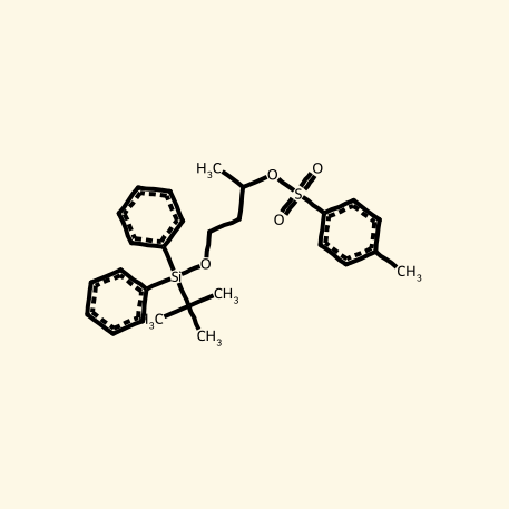 Cc1ccc(S(=O)(=O)OC(C)CCO[Si](c2ccccc2)(c2ccccc2)C(C)(C)C)cc1